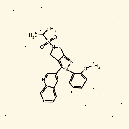 COc1ccccc1-n1nc2c(c1-c1cnc3ccccc3c1)CN(S(=O)(=O)C(C)C)C2